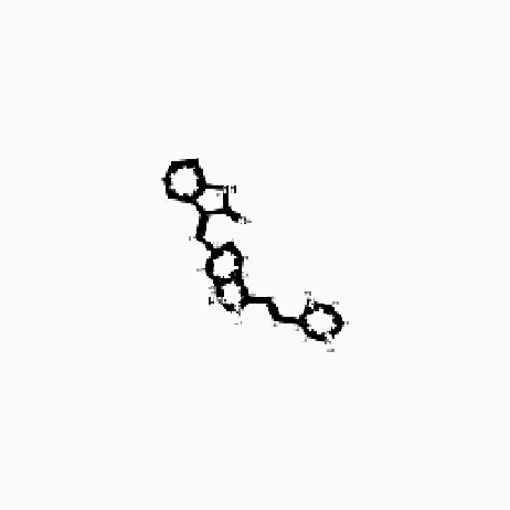 O=C1Nc2ccccc2C1=Cc1ccc2c(/C=C/c3cnccn3)n[nH]c2c1